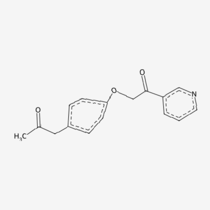 CC(=O)Cc1ccc(OCC(=O)c2cccnc2)cc1